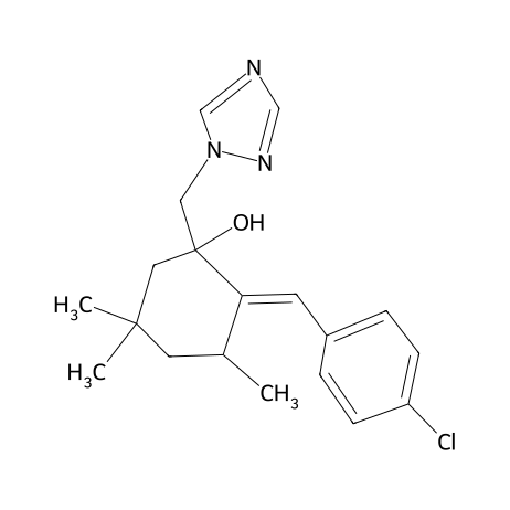 CC1CC(C)(C)CC(O)(Cn2cncn2)C1=Cc1ccc(Cl)cc1